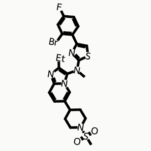 CCc1nc2ccc(C3CCN(S(C)(=O)=O)CC3)cn2c1N(C)c1nc(-c2ccc(F)cc2Br)cs1